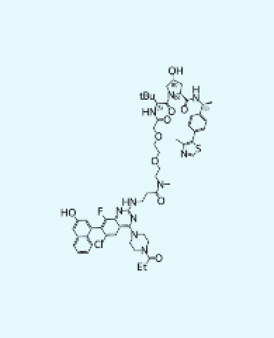 CCC(=O)N1CCN(c2nc(NCCC(=O)N(C)CCOCCOCC(=O)N[C@H](C(=O)N3C[C@H](O)C[C@H]3C(=O)N[C@@H](C)c3ccc(-c4scnc4C)cc3)C(C)(C)C)nc3c(F)c(-c4cc(O)cc5ccccc45)c(Cl)cc23)CC1